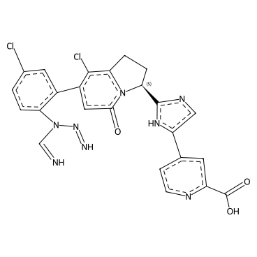 N=CN(N=N)c1ccc(Cl)cc1-c1cc(=O)n2c(c1Cl)CC[C@H]2c1ncc(-c2ccnc(C(=O)O)c2)[nH]1